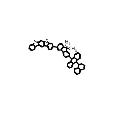 CC1(C)c2ccc(-c3ccc4c(c3)sc3cc5sc6ccccc6c5cc34)cc2-c2ccc(-c3c4ccccc4c(-c4cccc5ccccc45)c4ccccc34)cc21